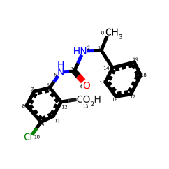 CC(NC(=O)Nc1ccc(Cl)cc1C(=O)O)c1ccccc1